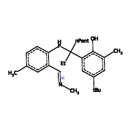 CCCCCC(CC)(Pc1ccc(C)cc1/C=N/C)c1cc(C(C)(C)C)cc(C)c1O